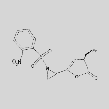 CCC[C@@H]1C=C(C2C[N@]2S(=O)(=O)c2ccccc2[N+](=O)[O-])OC1=O